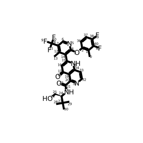 Cc1c(Oc2ncc(C(F)(F)F)c(C)c2-c2cc(=O)c3c(C(=O)N[C@H](CO)C(C)(C)C)nccc3[nH]2)ccc(F)c1F